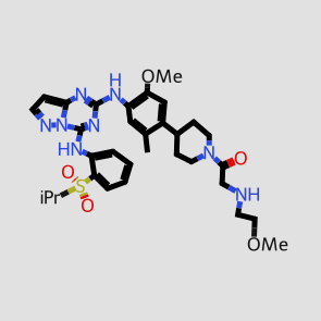 COCCNCC(=O)N1CCC(c2cc(OC)c(Nc3nc(Nc4ccccc4S(=O)(=O)C(C)C)n4nccc4n3)cc2C)CC1